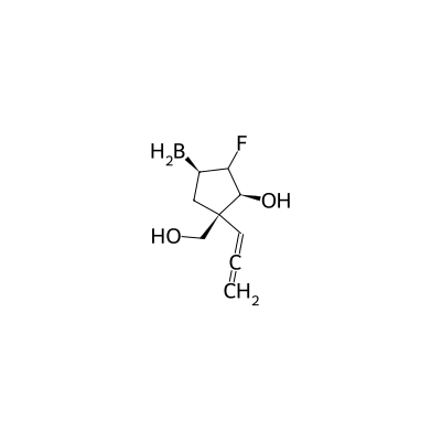 B[C@@H]1C[C@](C=C=C)(CO)[C@H](O)C1F